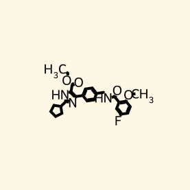 CCOC(=O)c1[nH]c(C2CCCC2)nc1-c1ccc(CNC(=O)c2cc(F)ccc2OC)cc1